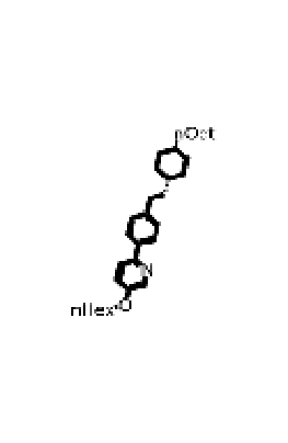 CCCCCCCC[C@H]1CC[C@H](CCc2ccc(-c3ccc(OCCCCCC)cn3)cc2)CC1